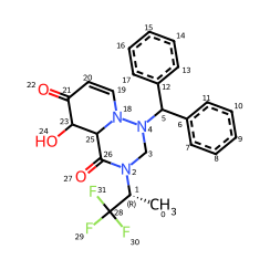 C[C@@H](N1CN(C(c2ccccc2)c2ccccc2)N2C=CC(=O)C(O)C2C1=O)C(F)(F)F